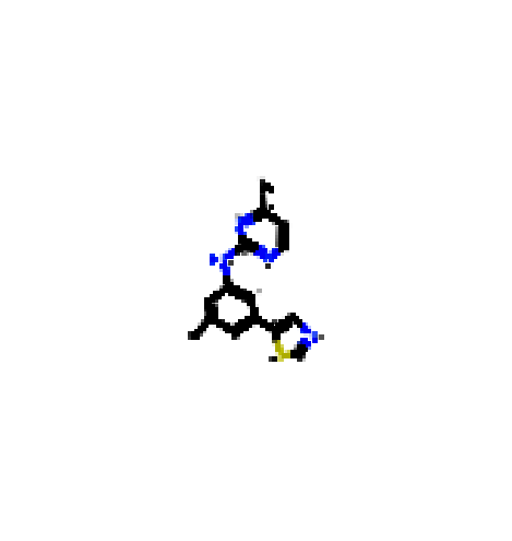 Cc1cc(Nc2nccc(C(C)C)n2)cc(-c2cncs2)c1